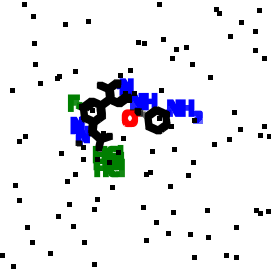 Cc1cnc(NC(=O)[C@H]2CCC[C@@H](N)C2)cc1-c1cc(F)c2nn(C)c(C(C)C)c2c1.Cl.Cl.Cl